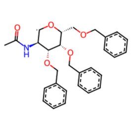 CC(=O)N[C@H]1[CH]O[C@H](COCc2ccccc2)[C@H](OCc2ccccc2)[C@@H]1OCc1ccccc1